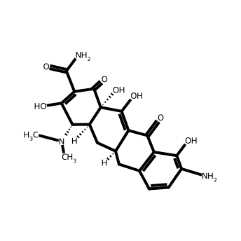 CN(C)[C@@H]1C(O)=C(C(N)=O)C(=O)[C@@]2(O)C(O)=C3C(=O)c4c(ccc(N)c4O)C[C@H]3C[C@@H]12